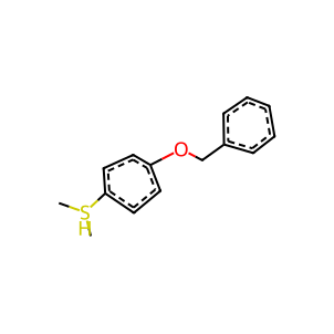 C[SH](C)c1ccc(OCc2ccccc2)cc1